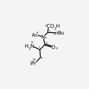 CCCCC(C(=O)O)N(C(C)=O)C(=O)C(N)CC(C)C